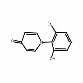 CCc1cccc(O)c1-n1ccc(=O)cc1